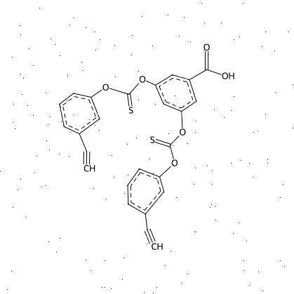 C#Cc1cccc(OC(=S)Oc2cc(OC(=S)Oc3cccc(C#C)c3)cc(C(=O)O)c2)c1